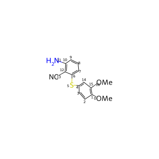 COc1ccc(Sc2cccc(N)c2C#N)cc1OC